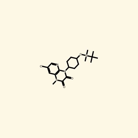 Cn1c(=O)c(=O)n(C2CCC(O[Si](C)(C)C(C)(C)C)CC2)c2ncc(Cl)cc21